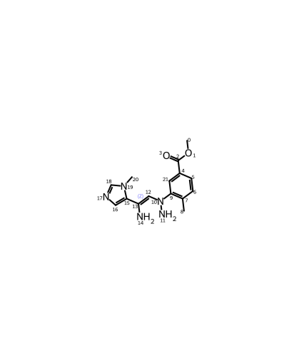 COC(=O)c1ccc(C)c(N(N)/C=C(\N)c2cncn2C)c1